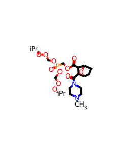 CC(C)OOCOP(=O)(COC(=O)C1C2CCC(O2)C1C(=O)N1CCN(C)CC1)OCOOC(C)C